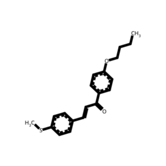 CCCCOc1ccc(C(=O)/C=C/c2ccc(SC)cc2)cc1